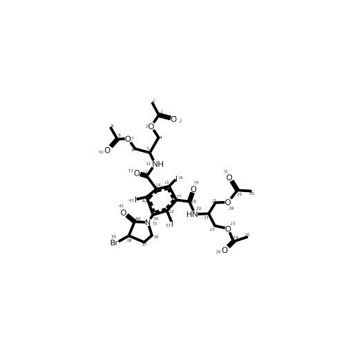 CC(=O)OCC(COC(C)=O)NC(=O)c1c(I)c(C(=O)NC(COC(C)=O)COC(C)=O)c(I)c(N2CCC(Br)C2=O)c1I